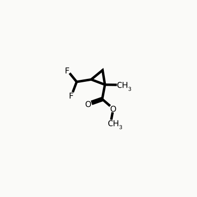 COC(=O)C1(C)CC1C(F)F